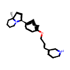 c1cc([C@@H]2CC[C@@H]3CCCCN32)ccc1OCCCC1CCCNC1